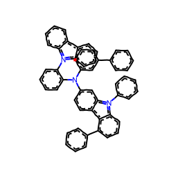 c1ccc(-c2cccc(N(c3ccc4c5c(-c6ccccc6)cccc5n(-c5ccccc5)c4c3)c3ccccc3-n3c4ccccc4c4ccccc43)c2)cc1